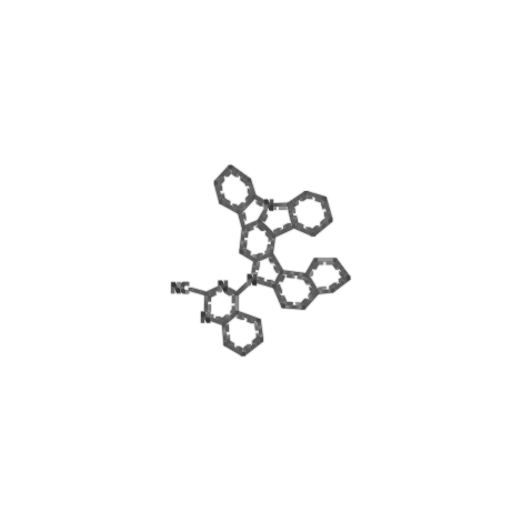 N#Cc1nc(-n2c3ccc4ccccc4c3c3c4c5ccccc5n5c6ccccc6c(cc32)c45)c2ccccc2n1